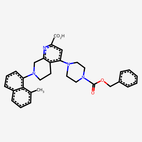 Cc1cccc2cccc(N3CCc4c(N5CCN(C(=O)OCc6ccccc6)CC5)cc(C(=O)O)nc4C3)c12